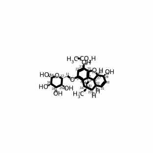 CC(=O)O.CN1CC[C@]23c4c5c(OC[C@H]6O[C@@H](O)[C@H](O)[C@@H](O)[C@@H]6O)cc(O)c4O[C@H]2[C@@H](O)C=C[C@H]3[C@H]1C5